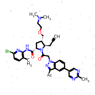 C#CC[C@@H]1[C@@H](COCCN(C)C)C[C@@H](C(=O)Nc2nc(Br)ccc2C)N1C(=O)Cn1nc(C(C)=O)c2cc(-c3cnc(C)nc3)ccc21